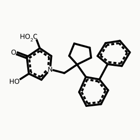 O=C(O)c1cn(CC2(c3ccccc3-c3ccccc3)CCCC2)cc(O)c1=O